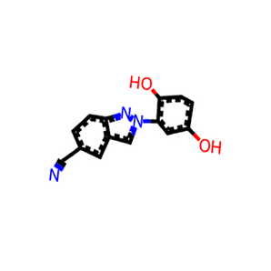 N#Cc1ccc2nn(-c3cc(O)ccc3O)cc2c1